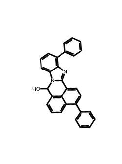 OC1c2cccc3c(-c4ccccc4)ccc(c23)-c2nc3c(-c4ccccc4)cccc3n21